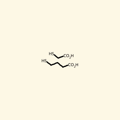 O=C(O)CCCS.O=C(O)CS